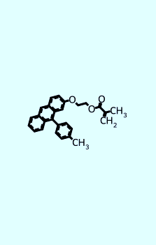 C=C(C)C(=O)OCCOc1ccc2cc3ccccc3c(-c3ccc(C)cc3)c2c1